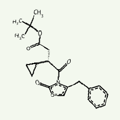 CC(C)(C)OC(=O)C[C@H](C(=O)n1c(Cc2ccccc2)coc1=O)C1CC1